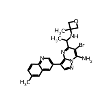 Cc1ccc2ncc(-c3cnn4c(N)c(Br)c(C(C)NC5(C)COC5)nc34)cc2c1